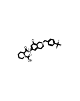 O=C(Nc1cc(Cl)c2c(c1)CCN(Cc1ccc(C(F)(F)F)cc1)C2)C1CCCCN1C(=O)O